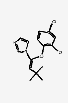 CC(C)(C)/C=C(\Oc1ccc(Cl)cc1Cl)n1ccnn1